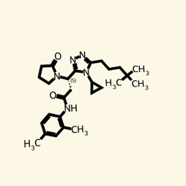 Cc1ccc(NC(=O)C[C@@H](c2nnc(CCCC(C)(C)C)n2C2CC2)N2CCCC2=O)c(C)c1